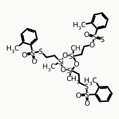 Cc1ccccc1S(=O)(=O)SCC[Si]1(C)O[Si](C)(CCOS(=O)(=S)c2ccccc2C)O[Si](C)(CCSS(=O)(=O)c2ccccc2C)O1